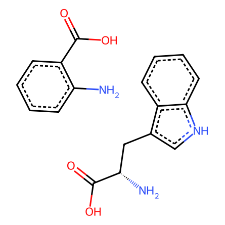 N[C@@H](Cc1c[nH]c2ccccc12)C(=O)O.Nc1ccccc1C(=O)O